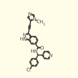 Cn1cncc1C#Cc1n[nH]c2cc(C(=O)NC(c3ccncc3)c3ccc(Cl)cc3)ccc12